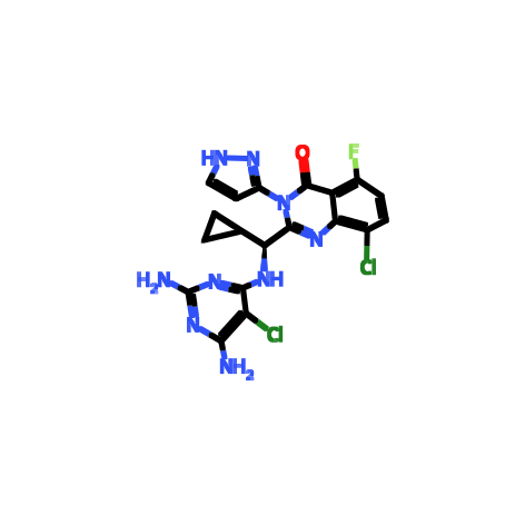 Nc1nc(N)c(Cl)c(N[C@H](c2nc3c(Cl)ccc(F)c3c(=O)n2-c2cc[nH]n2)C2CC2)n1